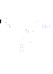 CN1CCC(c2c[nH]c3ccc(C(N)=O)nc23)CC1